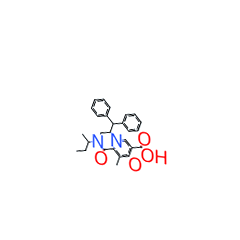 CCC(C)N1CC(C(c2ccccc2)c2ccccc2)n2cc(C(=O)O)c(=O)c(C)c2C1=O